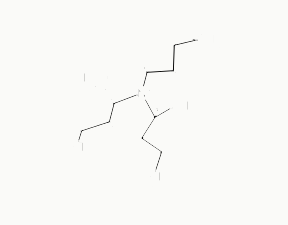 CCCCN(CCCC)C(C)CCC.O